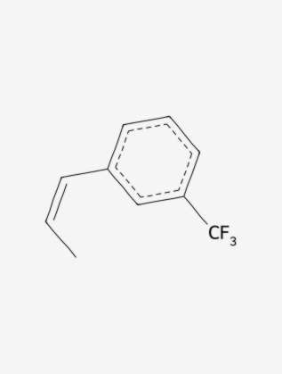 C/C=C\c1cccc(C(F)(F)F)c1